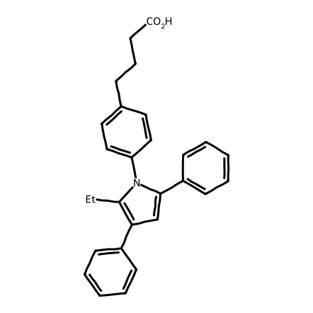 CCc1c(-c2ccccc2)cc(-c2ccccc2)n1-c1ccc(CCCC(=O)O)cc1